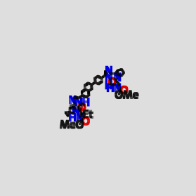 CC[C@H](NC(=O)OC)C(=O)N1CC2(CC2)C[C@H]1c1ncc(-c2ccc3cc(-c4ccc(-c5cnc(C6C7CCC(C7)N6C(=O)CNC(=O)OC)[nH]5)cc4)ccc3c2)[nH]1